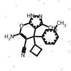 Cc1cccc(C2(C3CCC3)C(C#N)=C(N)Oc3[nH]nc(C)c32)c1